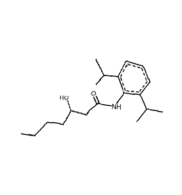 CCCCC(O)CC(=O)Nc1c(C(C)C)cccc1C(C)C